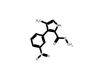 COC(=O)c1[nH]cc(C)c1-c1cccc([N+](=O)[O-])c1